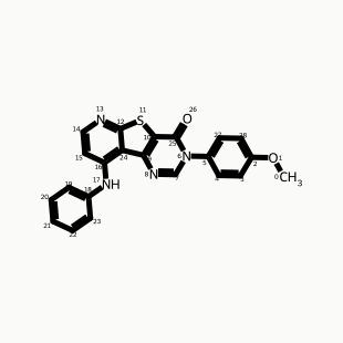 COc1ccc(-n2cnc3c(sc4nccc(Nc5ccccc5)c43)c2=O)cc1